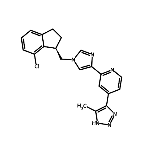 Cc1[nH]nnc1-c1ccnc(-c2cn(C[C@@H]3CCc4cccc(Cl)c43)cn2)c1